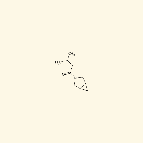 CC(C)CC(=O)N1CC2CC2C1